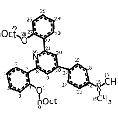 CCCCCCCCOc1ccccc1-c1cc(-c2ccc(N(C)C)cc2)cc(-c2ccccc2OCCCCCCCC)n1